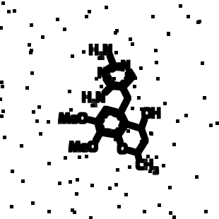 COc1cc(Cc2cnc(N)nc2N)c2c(c1OC)OC(C)CC2O